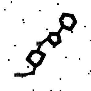 CCCCCCCOc1ccc(Nc2nc(-c3ccccn3)cs2)cc1